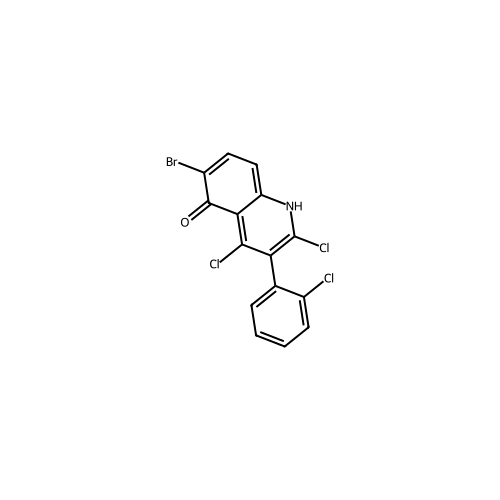 O=c1c(Br)ccc2[nH]c(Cl)c(-c3ccccc3Cl)c(Cl)c1-2